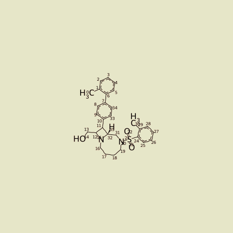 Cc1ccccc1-c1ccc(C2C(CO)N3CCCCN(S(=O)(=O)c4ccccc4C)C[C@@H]23)cc1